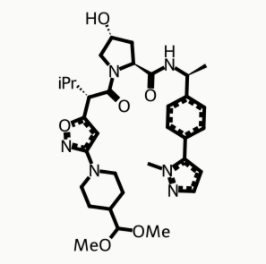 COC(OC)C1CCN(c2cc([C@@H](C(=O)N3C[C@H](O)C[C@H]3C(=O)N[C@@H](C)c3ccc(-c4ccnn4C)cc3)C(C)C)on2)CC1